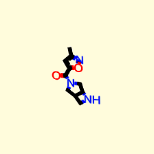 Cc1cc(C(=O)N2CC3CNC3C2)on1